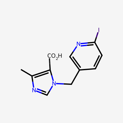 Cc1ncn(Cc2ccc(I)nc2)c1C(=O)O